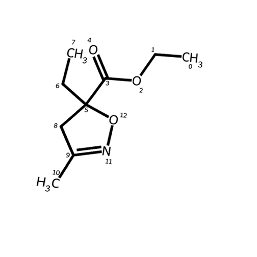 CCOC(=O)C1(CC)CC(C)=NO1